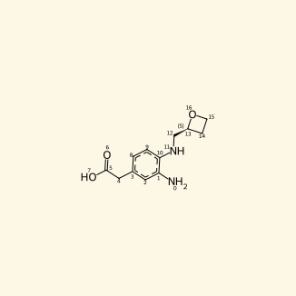 Nc1cc(CC(=O)O)ccc1NC[C@@H]1CCO1